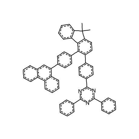 CC1(C)c2ccccc2-c2c1ccc(-c1ccc(-c3nc(-c4ccccc4)nc(-c4ccccc4)n3)cc1)c2-c1ccc(-c2cc3ccccc3c3ccccc23)cc1